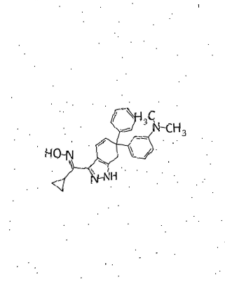 CN(C)c1cccc(C2(c3ccccc3)C=Cc3c(C(=NO)C4CC4)n[nH]c3C2)c1